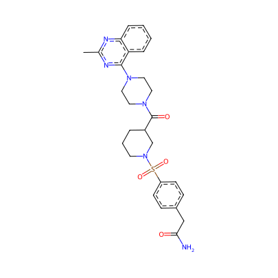 Cc1nc(N2CCN(C(=O)C3CCCN(S(=O)(=O)c4ccc(CC(N)=O)cc4)C3)CC2)c2ccccc2n1